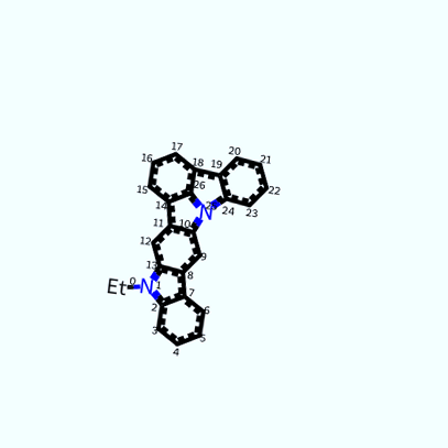 CCn1c2ccccc2c2cc3c(cc21)c1cccc2c4ccccc4n3c21